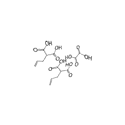 C=CCC(C(=O)O)C(=O)O.C=CCC(C(=O)O)C(=O)O.O=C(O)C(=O)O